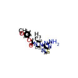 COc1cccc(OCC(=O)N2CCN(c3nc(N)nc4scnc34)CC2C)c1